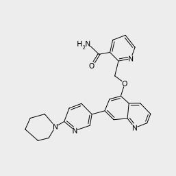 NC(=O)c1cccnc1COc1cc(-c2ccc(N3CCCCC3)nc2)cc2ncccc12